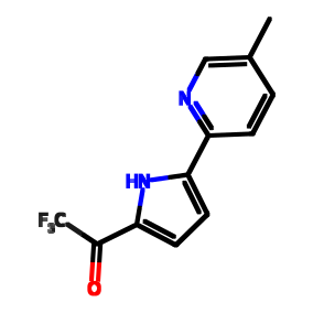 Cc1ccc(-c2ccc(C(=O)C(F)(F)F)[nH]2)nc1